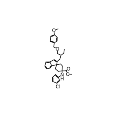 CCC(COCc1ccc(OC)cc1)CC1=Cc2ccccc2C12CCC(Nc1cccc(Cl)c1)(C(=O)OC)CC2